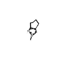 Cn1[c]c2c(n1)CCC2